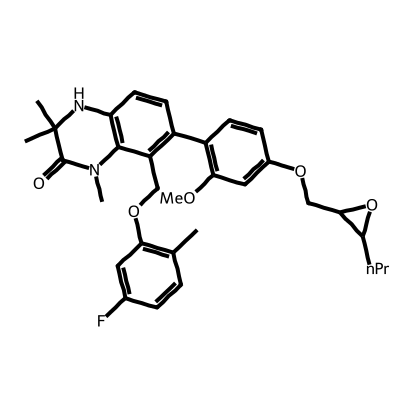 CCCC1OC1COc1ccc(-c2ccc3c(c2COc2cc(F)ccc2C)N(C)C(=O)C(C)(C)N3)c(OC)c1